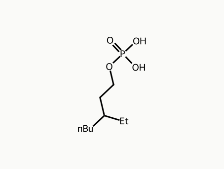 CCCCC(CC)CCOP(=O)(O)O